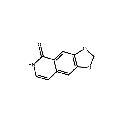 O=c1[nH]ccc2cc3c(cc12)OCO3